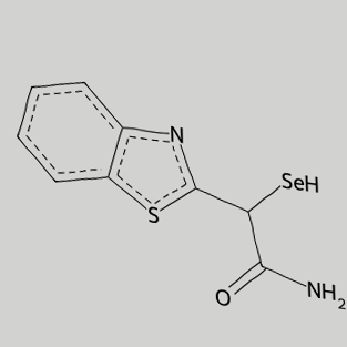 NC(=O)C([SeH])c1nc2ccccc2s1